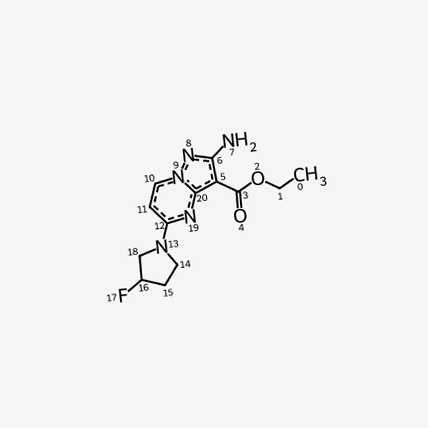 CCOC(=O)c1c(N)nn2ccc(N3CCC(F)C3)nc12